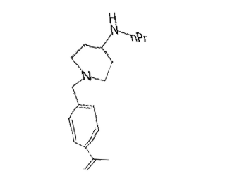 C=C(C)c1ccc(CN2CCC(NCCC)CC2)cc1